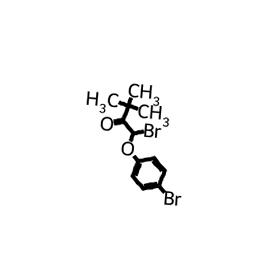 CC(C)(C)C(=O)C(Br)Oc1ccc(Br)cc1